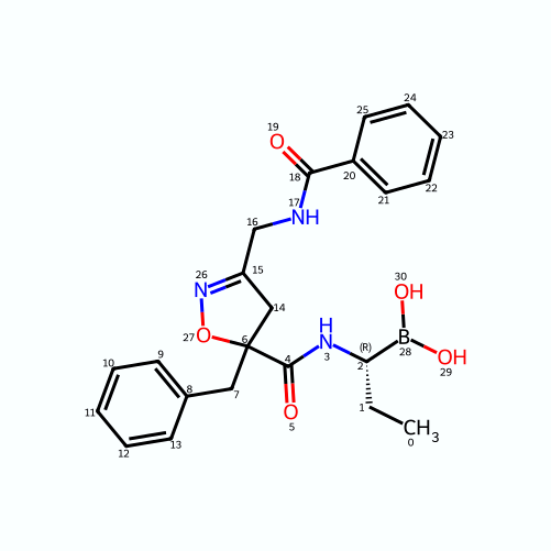 CC[C@H](NC(=O)C1(Cc2ccccc2)CC(CNC(=O)c2ccccc2)=NO1)B(O)O